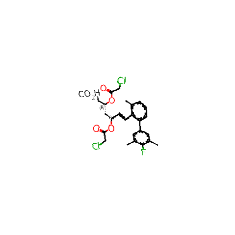 Cc1cc(-c2cccc(C)c2C=C[C@H](C[C@H](CC(=O)O)OC(=O)CCl)OC(=O)CCl)cc(C)c1F